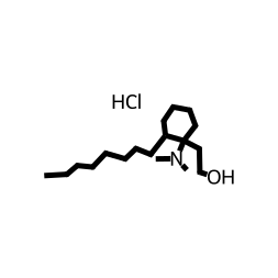 CCCCCCCCC1CCCCC1(CCO)N(C)C.Cl